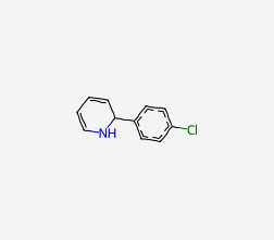 Clc1ccc(C2C=CC=CN2)cc1